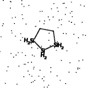 C1C[SiH2][SiH2][SiH2]1